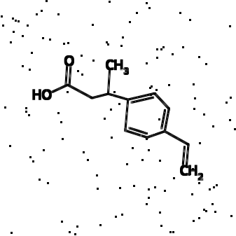 C=Cc1ccc(C(C)CC(=O)O)cc1